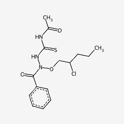 CCCC(Cl)CON(NC(=S)NC(C)=O)C(=O)c1ccccc1